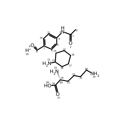 CC(=O)Nc1ccc(C=O)cc1.NC1CCCCC1.NCCCC[C@@H](N)C(=O)O.[H+]